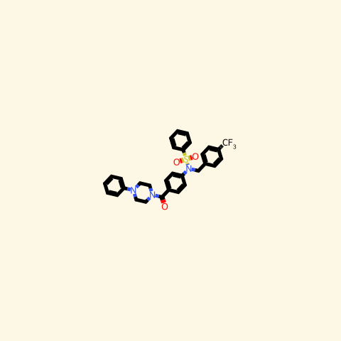 O=C(c1ccc(N(Cc2ccc(C(F)(F)F)cc2)S(=O)(=O)c2ccccc2)cc1)N1CCN(c2ccccc2)CC1